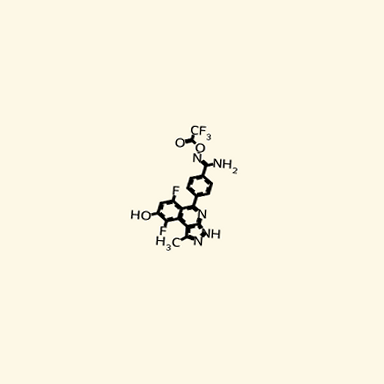 Cc1n[nH]c2nc(-c3ccc(C(N)=NOC(=O)C(F)(F)F)cc3)c3c(F)cc(O)c(F)c3c12